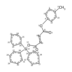 Cc1ccc(OC(=O)/N=N/C(=O)O[Si](c2ccccc2)(c2ccccc2)c2ccccc2)cc1